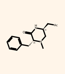 CC(=O)C[C@H]1CN(C)[C@H](Cc2ccccc2)C(=O)N1